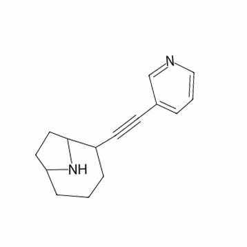 C(#CC1CCCC2CCC1N2)c1cccnc1